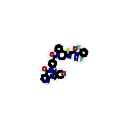 O=C(Nc1c(F)cccc1F)c1nc2c(s1)-c1ccccc1N(C(=O)c1ccc(NC(=O)c3cccnc3N3CC4(CCOCC4)C3)cc1)CC2